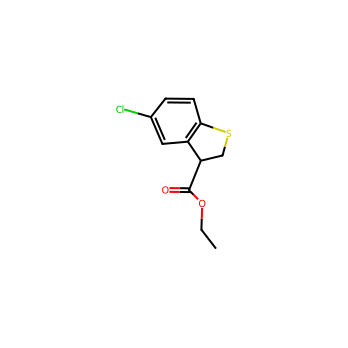 CCOC(=O)C1CSc2ccc(Cl)cc21